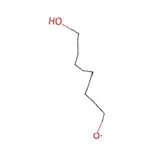 [O]CCCCCO